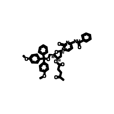 COc1ccc(C(OC[C@H]2O[C@@H](n3ccc(NC(=O)c4ccccc4)nc3=O)C[C@@H]2OC(=O)CCC(C)=O)(c2ccccc2)c2ccc(OC)cc2)cc1